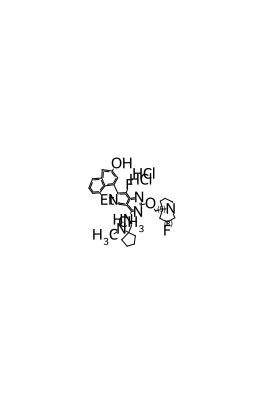 CCc1cccc2cc(O)cc(-c3ncc4c(NCC5(N(C)C)CCCC5)nc(OC[C@@]56CCCN5C[C@H](F)C6)nc4c3F)c12.Cl.Cl